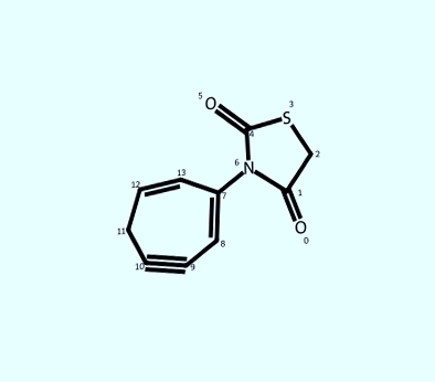 O=C1CSC(=O)N1C1=CC#CCC=C1